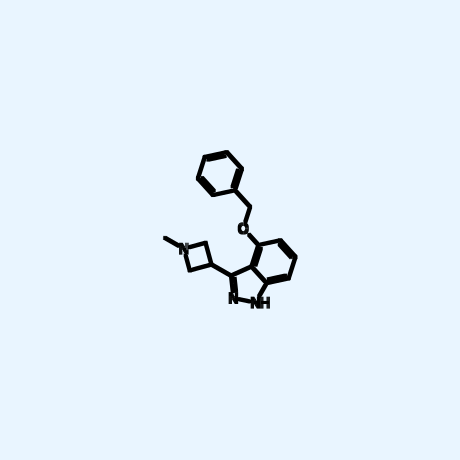 CN1CC(c2n[nH]c3cccc(OCc4ccccc4)c23)C1